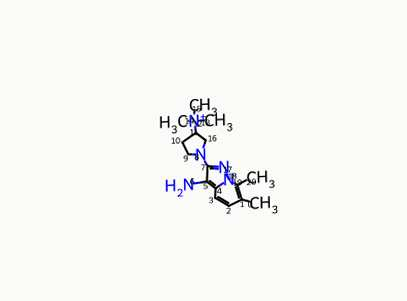 Cc1ccc2c(N)c(N3CCC([N+](C)(C)C)C3)nn2c1C